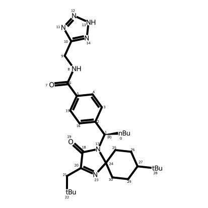 CCCC[C@H](c1ccc(C(=O)NCc2nn[nH]n2)cc1)N1C(=O)C(CC(C)(C)C)=NC12CCC(C(C)(C)C)CC2